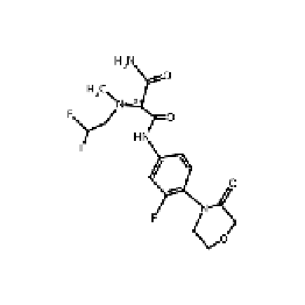 CN(CC(F)F)[C@@H](C(N)=O)C(=O)Nc1ccc(N2CCOCC2=O)c(F)c1